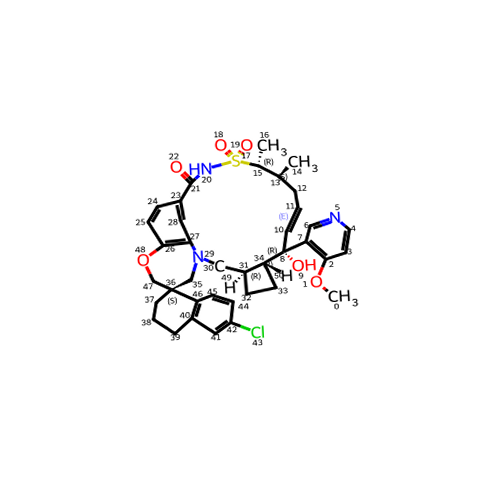 COc1ccncc1[C@]1(O)/C=C/C[C@H](C)[C@@H](C)S(=O)(=O)NC(=O)c2ccc3c(c2)N(C[C@@H]2CC[C@H]21)C[C@@]1(CCCc2cc(Cl)ccc21)CO3